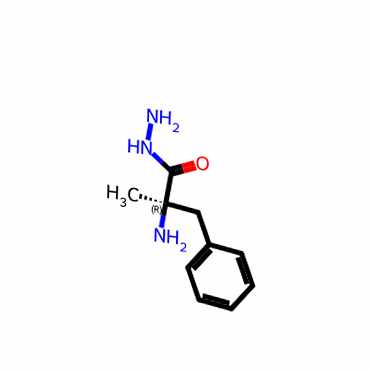 C[C@@](N)(Cc1ccccc1)C(=O)NN